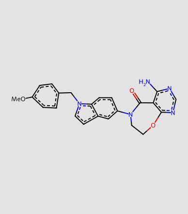 COc1ccc(Cn2ccc3cc(N4CCOc5ncnc(N)c5C4=O)ccc32)cc1